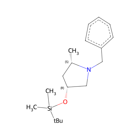 C[C@H]1C[C@@H](O[Si](C)(C)C(C)(C)C)CN1Cc1ccccc1